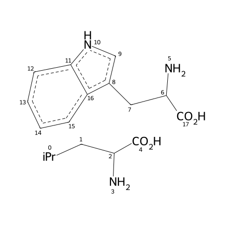 CC(C)CC(N)C(=O)O.NC(Cc1c[nH]c2ccccc12)C(=O)O